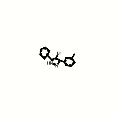 Cc1cccc(-c2n[nH]c(-c3ccccc3)c2Br)c1